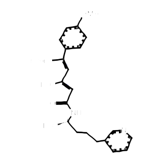 CCCCC/C(=C\C(C)=C\C(=O)N[C@H](C)CCCc1cccnc1)c1ccc(OC)cc1